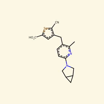 Cc1nc(N2CC3CC3C2)ccc1Cc1cc(C(=O)O)sc1C#N